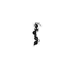 Cc1ccc(-c2noc(-c3cccc(OCC4CCN(C(=O)c5ccc(F)cc5)CC4)c3)n2)cn1